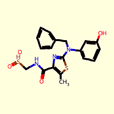 Cc1sc(N(Cc2ccccc2)c2cccc(O)c2)nc1C(=O)NC[SH](=O)=O